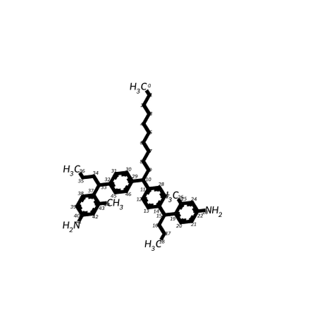 CCCCCCCCCCC(c1ccc(C(CCC)c2ccc(N)cc2C)cc1)c1ccc(C(CCC)c2ccc(N)cc2C)cc1